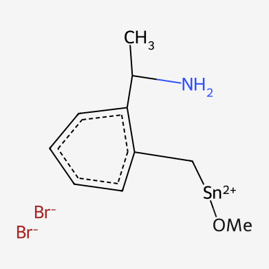 C[O][Sn+2][CH2]c1ccccc1C(C)N.[Br-].[Br-]